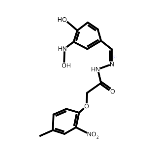 Cc1ccc(OCC(=O)N/N=C\c2ccc(O)c(NO)c2)c([N+](=O)[O-])c1